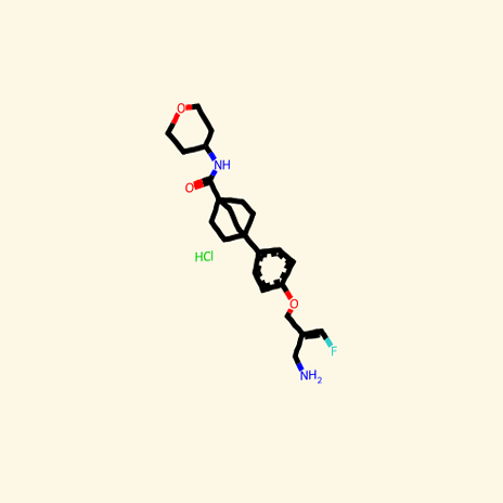 Cl.NCC(=CF)COc1ccc(C23CCC(C(=O)NC4CCOCC4)(CC2)CC3)cc1